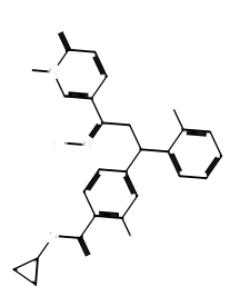 Cn1cc(C(CC(c2ccc(C(=O)NC3CC3)c(F)c2)c2ccccc2Cl)=NO)ccc1=O